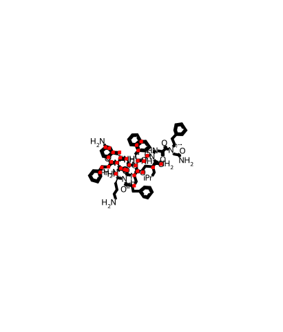 CC(C)CCC(=O)N(NC(=O)C(=O)N(CC(N)=O)[C@@H](C)Cc1ccccc1)C(=O)N[C@@H](Cc1ccccc1)N(C(=O)CCC(C)C)C(=O)N[C@@H](Cc1ccccc1)N(C(=O)CCC(C)C)C(=O)N[C@H](CCCCN)N(C(=O)CCc1ccccc1)C(=O)N[C@@H](CCCCN)N(C(=O)CCc1ccccc1)C(=O)N[C@@H](CCCCN)N(C(N)=O)C(=O)CCc1ccccc1